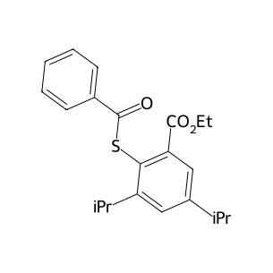 CCOC(=O)c1cc(C(C)C)cc(C(C)C)c1SC(=O)c1ccccc1